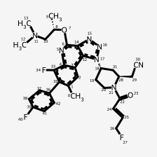 Cc1cc2c(nc(O[C@@H](C)CN(C)C)c3nnn([C@H]4CCN(C(=O)/C=C/CF)[C@H](CC#N)C4)c32)c(F)c1-c1ccc(F)cc1